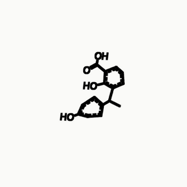 CC(c1ccc(O)cc1)c1cccc(C(=O)O)c1O